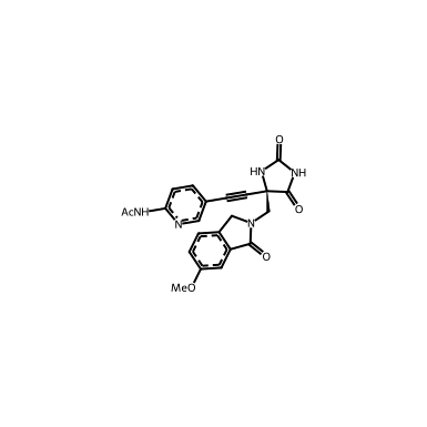 COc1ccc2c(c1)C(=O)N(C[C@@]1(C#Cc3ccc(NC(C)=O)nc3)NC(=O)NC1=O)C2